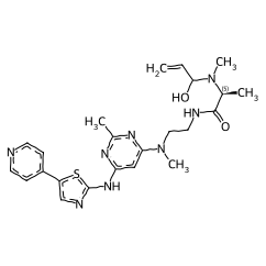 C=CC(O)N(C)[C@@H](C)C(=O)NCCN(C)c1cc(Nc2ncc(-c3ccncc3)s2)nc(C)n1